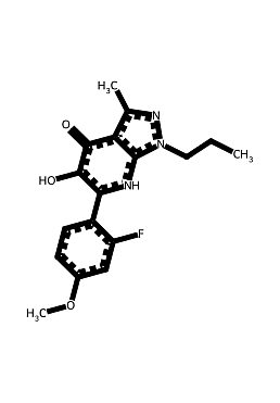 CCCn1nc(C)c2c(=O)c(O)c(-c3ccc(OC)cc3F)[nH]c21